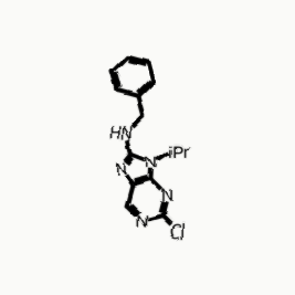 CC(C)n1c(NCc2ccccc2)nc2cnc(Cl)nc21